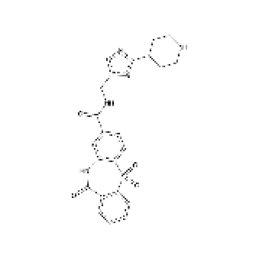 O=C(NCc1cnc(C2CCNCC2)s1)c1ccc2c(c1)NC(=O)c1ccccc1S2(=O)=O